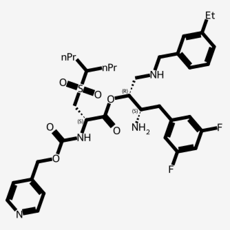 CCCC(CCC)S(=O)(=O)C[C@@H](NC(=O)OCc1ccncc1)C(=O)O[C@H](CNCc1cccc(CC)c1)[C@@H](N)Cc1cc(F)cc(F)c1